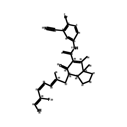 C=C(Nc1ccc(Br)c(C#N)c1)C1=C(C)C2(C)CCCN2N(C/C(C)=C/C=C\C(F)=C\S)C1=O